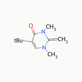 C=C1N(C)C=C(C(C)(C)C)C(=O)N1C